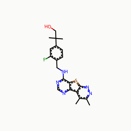 Cc1nnc2sc3c(NCc4ccc(C(C)(C)CO)cc4F)ncnc3c2c1C